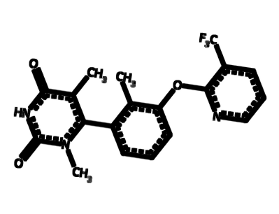 Cc1c(Oc2ncccc2C(F)(F)F)cccc1-c1c(C)c(=O)[nH]c(=O)n1C